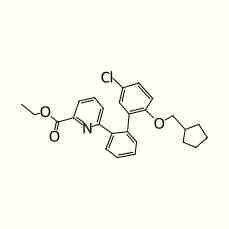 CCOC(=O)c1cccc(-c2ccccc2-c2cc(Cl)ccc2OCC2CCCC2)n1